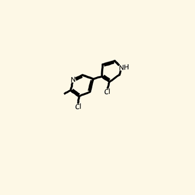 Cc1ncc(C2=C(Cl)CNC=C2)cc1Cl